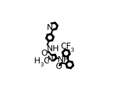 Cn1cc(NC(=O)c2ccccc2-c2ccc(C(F)(F)F)cc2)cc1C(=O)NCc1ccc(-c2ccccn2)cc1